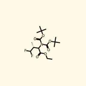 CCOC(=O)C([C@@H](C)C(F)F)N(C(=O)OC(C)(C)C)C(=O)OC(C)(C)C